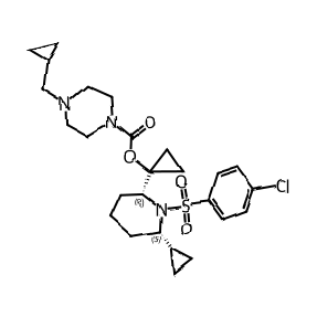 O=C(OC1([C@H]2CCC[C@@H](C3CC3)N2S(=O)(=O)c2ccc(Cl)cc2)CC1)N1CCN(CC2CC2)CC1